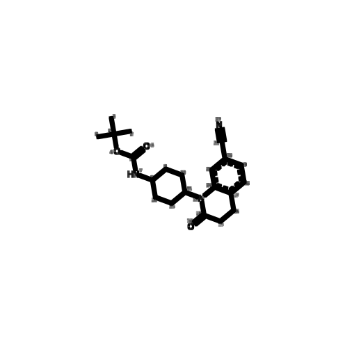 CC(C)(C)OC(=O)NC1CCC(N2C(=O)CCc3ccc(C#N)cc32)CC1